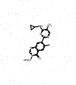 CCCCCn1cnc2cc(-c3ncc(C(F)(F)F)c(NC4CC4)n3)c(F)cc2c1=O